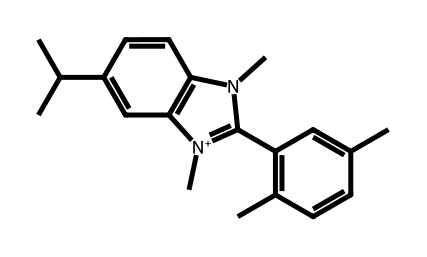 Cc1ccc(C)c(-c2n(C)c3ccc(C(C)C)cc3[n+]2C)c1